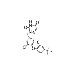 CC(C)(C)c1ccc(Oc2c(Cl)cc(Cn3ncc(=O)[nH]c3=O)cc2Cl)cc1